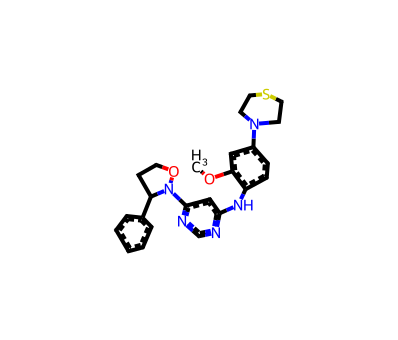 COc1cc(N2CCSCC2)ccc1Nc1cc(N2OCCC2c2ccccc2)ncn1